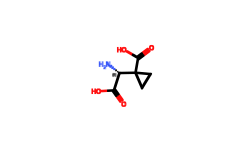 N[C@@H](C(=O)O)C1(C(=O)O)CC1